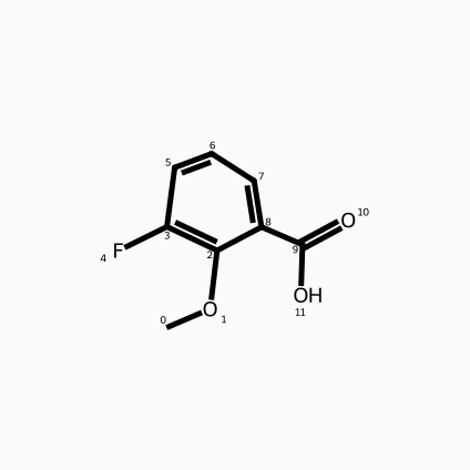 COc1c(F)cccc1C(=O)O